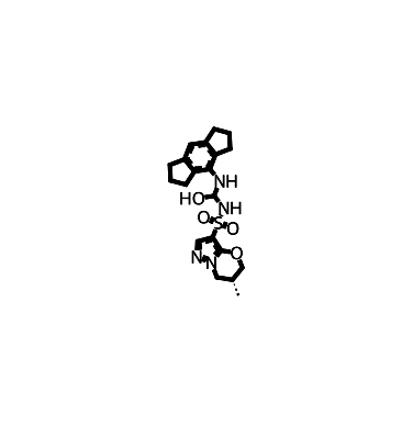 C[C@H]1COc2c(S(=O)(=O)NC(O)Nc3c4c(cc5c3CCC5)CCC4)cnn2C1